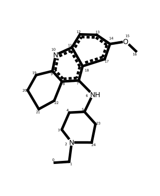 CCN1CCC(Nc2c3c(nc4ccc(OC)cc24)CCCC3)CC1